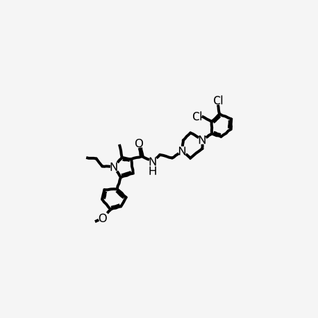 CCCn1c(-c2ccc(OC)cc2)cc(C(=O)NCCN2CCN(c3cccc(Cl)c3Cl)CC2)c1C